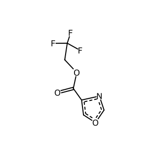 O=C(OCC(F)(F)F)c1cocn1